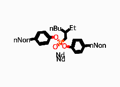 CCCCCCCCCc1ccc(OP(=O)(CC(CC)CCCC)Oc2ccc(CCCCCCCCC)cc2)cc1.[Nd].[Nd]